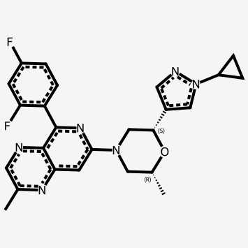 Cc1cnc2c(-c3ccc(F)cc3F)nc(N3C[C@@H](C)O[C@@H](c4cnn(C5CC5)c4)C3)cc2n1